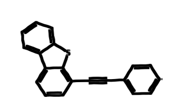 C(#Cc1cccc2c1sc1ccccc12)c1cc[c]cc1